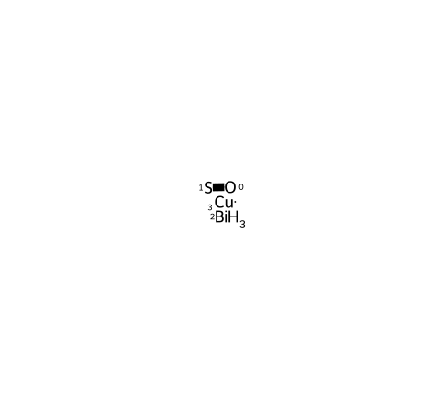 O=S.[BiH3].[Cu]